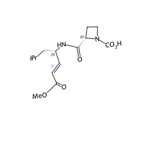 COC(=O)/C=C/[C@H](CC(C)C)NC(=O)[C@@H]1CCN1C(=O)O